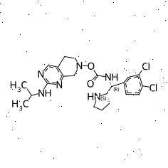 CC(C)Nc1ncc2c(n1)CN(OC(=O)N[C@H](c1ccc(Cl)c(Cl)c1)[C@@H]1CCCN1)CC2